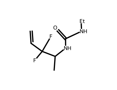 C=CC(F)(F)C(C)NC(=O)NCC